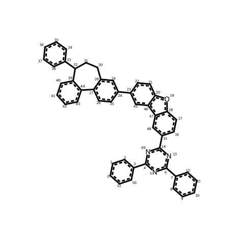 c1ccc(-c2nc(-c3ccccc3)nc(-c3ccc4oc5ccc(-c6ccc7c(c6)CCC(c6ccccc6)c6ccccc6-7)cc5c4c3)n2)cc1